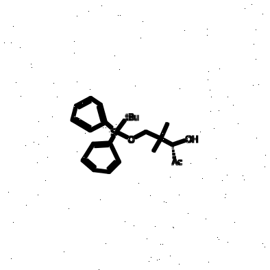 CC(=O)[C@@H](O)C(C)(C)CO[Si](c1ccccc1)(c1ccccc1)C(C)(C)C